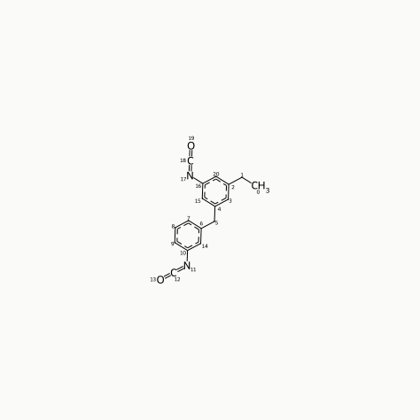 CCc1cc(Cc2cccc(N=C=O)c2)cc(N=C=O)c1